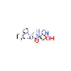 Cc1cc(C(=O)Nc2ccc(O)c3ncccc23)c(C)n1-c1ccccc1C(F)(F)F